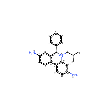 CC(C)C[n+]1c(-c2ccccc2)c2cc(N)ccc2c2ccc(N)cc21